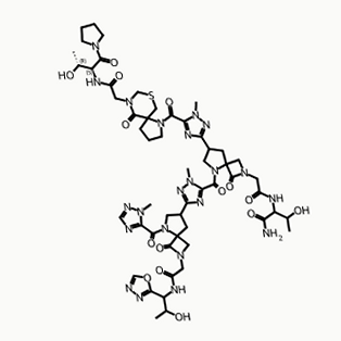 CC(O)C(NC(=O)CN1CC2(CC(c3nc(C(=O)N4CCCC45CSCN(CC(=O)N[C@H](C(=O)N4CCCC4)[C@@H](C)O)C5=O)n(C)n3)CN2C(=O)c2nc(C3CN(C(=O)c4ncnn4C)C4(C3)CN(CC(=O)NC(c3nnco3)C(C)O)C4=O)nn2C)C1=O)C(N)=O